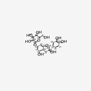 OC[C@H]1O[C@@H](Oc2cc(O)c3c(c2)O[C@H](c2ccc(O)c(O)c2)[C@@H](O)C3)[C@H](O)[C@@H](O)[C@@H]1O